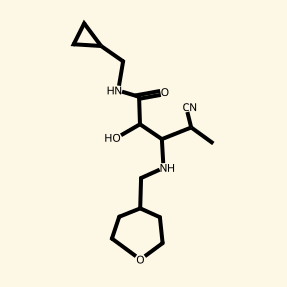 CC(C#N)C(NCC1CCOCC1)C(O)C(=O)NCC1CC1